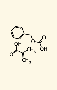 C=C(C)C(=O)O.O=C(O)OCc1ccccc1